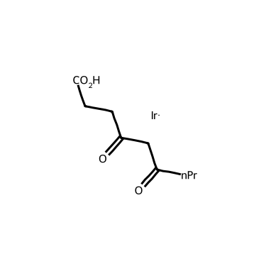 CCCC(=O)CC(=O)CCC(=O)O.[Ir]